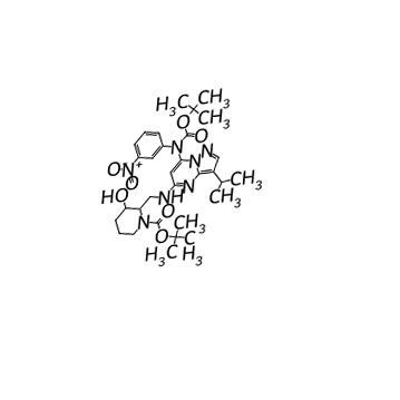 CC(C)c1cnn2c(N(C(=O)OC(C)(C)C)c3cccc([N+](=O)[O-])c3)cc(NCC3C(O)CCCN3C(=O)OC(C)(C)C)nc12